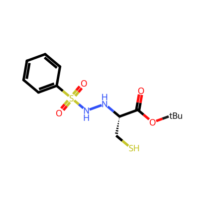 CC(C)(C)OC(=O)[C@H](CS)NNS(=O)(=O)c1ccccc1